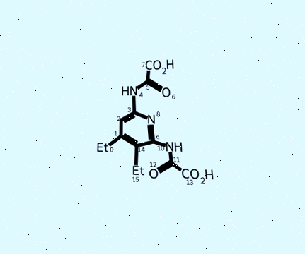 CCc1cc(NC(=O)C(=O)O)nc(NC(=O)C(=O)O)c1CC